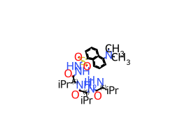 CC(C)[C@H](N)C(=O)N[C@H](C(=O)N[C@H](C(=O)NNS(=O)(=O)c1cccc2c(N(C)C)cccc12)C(C)C)C(C)C